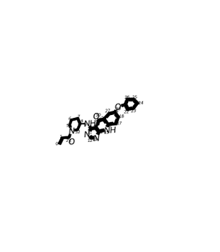 C=CC(=O)N1CCC[C@@H](Nc2ncnc3[nH]c4ccc(Oc5ccccc5)cc4c(=O)c23)C1